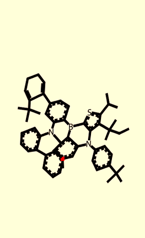 CCC(C)(C)c1c(C(C)C)sc2c1N(c1ccc(C(C)(C)C)cc1)c1cc(C)cc3c1B2c1ccc(C2=CCCC=C2C(C)(C)C)cc1N3c1ccccc1-c1ccccc1